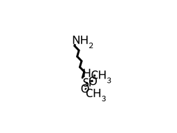 CO[SiH](CCCCCCCN)OC